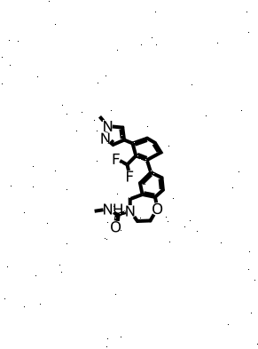 CNC(=O)N1CCOc2ccc(-c3cccc(-c4cnn(C)c4)c3C(F)F)cc2C1